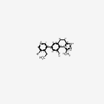 CCc1c(F)cncc1-c1cc(F)c2c(c1)CCc1nnc(C)n1-2